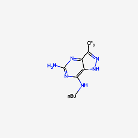 CCCCNc1nc(N)nc2c(C(F)(F)F)n[nH]c12